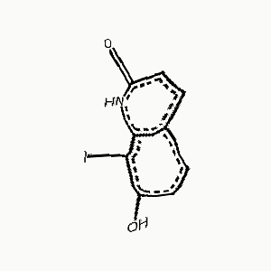 O=c1ccc2ccc(O)c(I)c2[nH]1